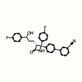 N#Cc1cccc(-c2ccc([C@@]3(c4ccc(F)cc4)NC(=O)[C@@H]3CC[C@H](O)c3ccc(F)cc3)cc2)c1